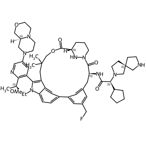 CCn1c(-c2cc(N3CCN4CCOC[C@@H]4C3)cnc2[C@H](C)OC)c2c3cc(ccc31)-c1cc(CF)cc(c1)C[C@H](NC(=O)[C@H](C1CCCC1)N1CC[C@]3(CCNC3)C1)C(=O)N1CCC[C@H](N1)C(=O)OCC(C)(C)C2